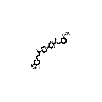 O=C(CCN1CCc2[nH]nnc2C1)N1CCN(c2cnc(NCc3cccc(OC(F)(F)F)c3)nc2)CC1